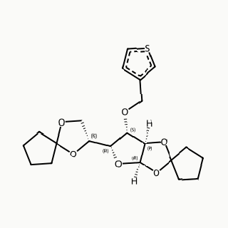 c1cc(CO[C@@H]2[C@H]3OC4(CCCC4)O[C@H]3O[C@@H]2[C@H]2COC3(CCCC3)O2)cs1